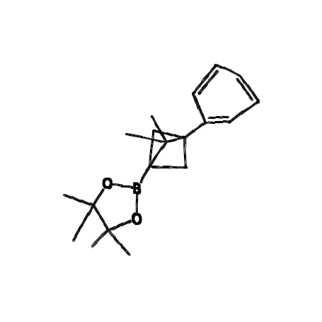 CC1(C)OB(C23CC(c4ccccc4)(C2)C3(C)C)OC1(C)C